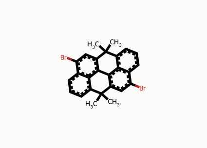 CC1(C)c2cc(Br)c3cccc4c3c2-c2c(cc(Br)c3cccc1c23)C4(C)C